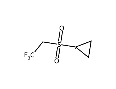 O=S(=O)(CC(F)(F)F)[C]1CC1